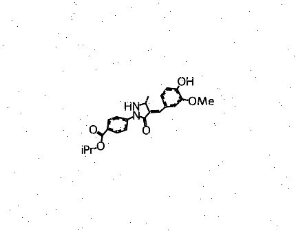 COc1cc(C=C2C(=O)N(c3ccc(C(=O)OC(C)C)cc3)NC2C)ccc1O